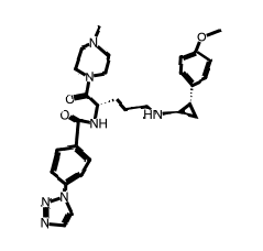 COc1ccc([C@@H]2C[C@H]2NCCC[C@H](NC(=O)c2ccc(-n3ccnn3)cc2)C(=O)N2CCN(C)CC2)cc1